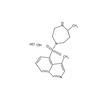 Cc1cncc2cccc(S(=O)(=O)N3CCNC(C)CC3)c12.Cl.Cl